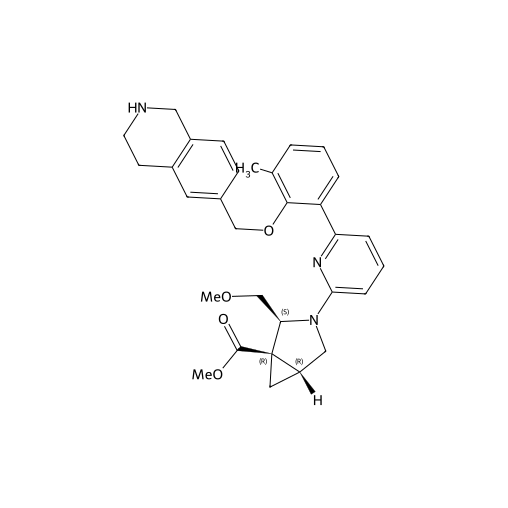 COC[C@H]1N(c2cccc(-c3cccc(C)c3OCc3ccc4c(c3)CCNC4)n2)C[C@@H]2C[C@@]21C(=O)OC